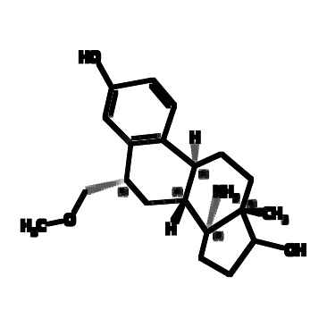 COC[C@H]1C[C@@H]2[C@H](CC[C@]3(C)C(O)CC[C@@]23N)c2ccc(O)cc21